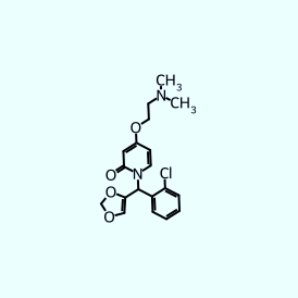 CN(C)CCOc1ccn(C(C2=COCO2)c2ccccc2Cl)c(=O)c1